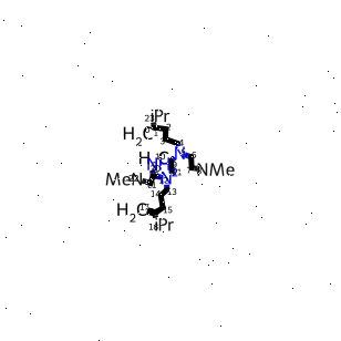 C=C(CCCN(CCNC)C(C)CN(CCCC(=C)C(C)C)C(N)CNC)C(C)C